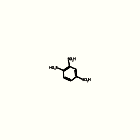 O=S(=O)(O)c1[c]cc(S(=O)(=O)O)c(S(=O)(=O)O)c1